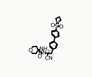 N#CC(Cc1ccc(-c2ccc(S(=O)(=O)N3CCC3)cc2)cc1)NC(=O)C1(N)CCOCC1